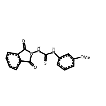 COc1cccc(NC(=S)NN2C(=O)c3ccccc3C2=O)c1